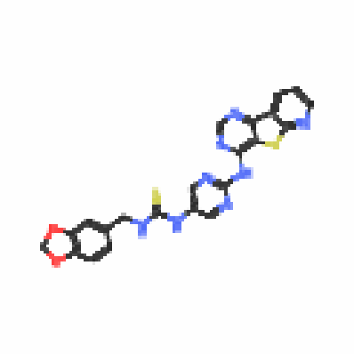 S=C(NCc1ccc2c(c1)OCO2)Nc1cnc(Nc2ncnc3c2sc2ncccc23)nc1